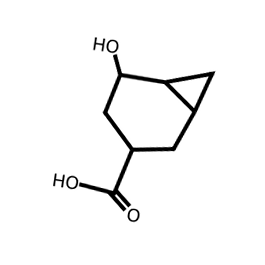 O=C(O)C1CC(O)C2CC2C1